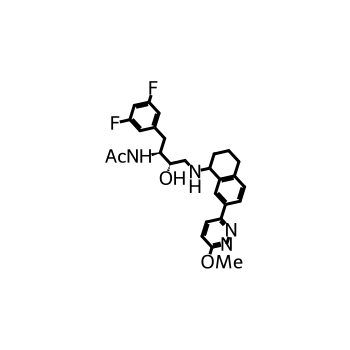 COc1ccc(-c2ccc3c(c2)C(NC[C@H](O)[C@H](Cc2cc(F)cc(F)c2)NC(C)=O)CCC3)nn1